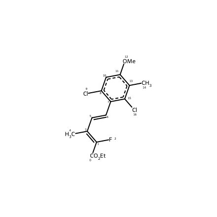 CCOC(=O)C(F)=C(C)C=Cc1c(Cl)cc(OC)c(C)c1Cl